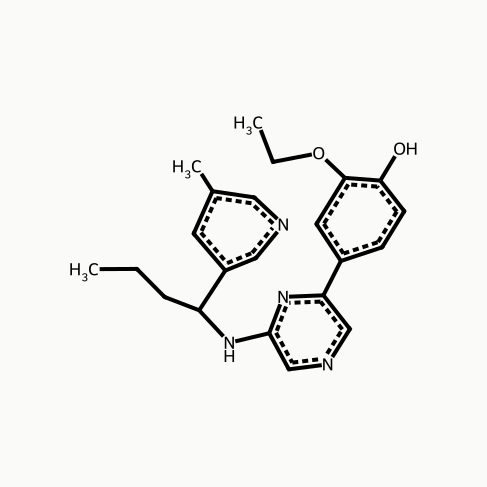 CCCC(Nc1cncc(-c2ccc(O)c(OCC)c2)n1)c1cncc(C)c1